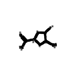 O=C(S)N1CC(O)C(F)C1